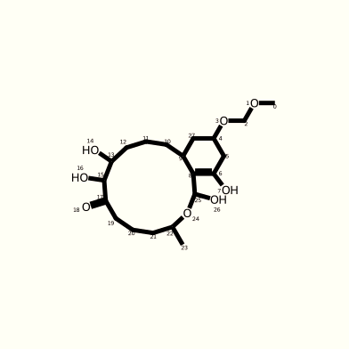 COCOC1CC(O)=C2C(CCCC(O)C(O)C(=O)CCCC(C)OC2O)C1